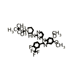 COc1cc2nc(-c3ccc(F)c(C(F)(F)F)c3)n(-c3ccnc(NC4CCCN(C(=O)OC(C)(C)C)C4)n3)c2cc1OC